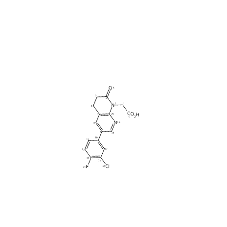 O=C(O)CN1C(=O)CCc2cc(-c3ccc(F)c(Cl)c3)cnc21